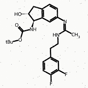 CC(=Nc1ccc2c(c1)[C@@H](NC(=O)OC(C)(C)C)[C@H](O)C2)NCCc1ccc(F)c(F)c1